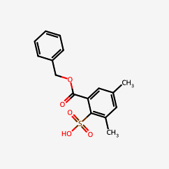 Cc1cc(C)c(S(=O)(=O)O)c(C(=O)OCc2ccccc2)c1